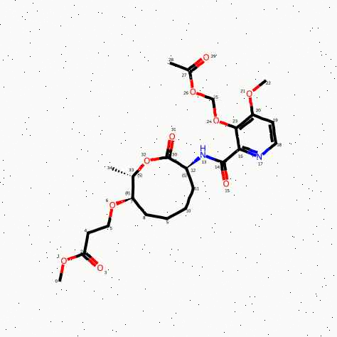 COC(=O)CCO[C@@H]1CCCC[C@H](NC(=O)c2nccc(OC)c2OCOC(C)=O)C(=O)O[C@H]1C